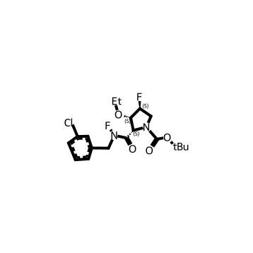 CCO[C@H]1[C@@H](C(=O)N(F)Cc2cccc(Cl)c2)N(C(=O)OC(C)(C)C)C[C@@H]1F